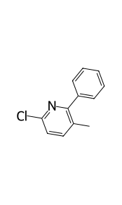 Cc1ccc(Cl)nc1-c1ccccc1